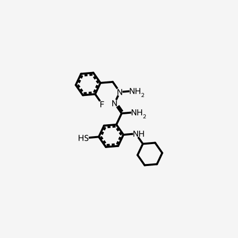 N/C(=N\N(N)Cc1ccccc1F)c1cc(S)ccc1NC1CCCCC1